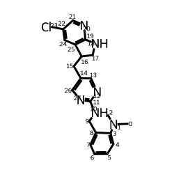 CN(C)c1ccccc1CNc1ncc(CC2CNc3ncc(Cl)cc32)cn1